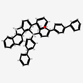 c1ccc(-c2ccc(-c3ccc(N(c4ccc(-c5ccccc5)cc4)c4c(-c5ccccc5)ccc5oc6c7ccccc7ccc6c45)cc3)cc2)cc1